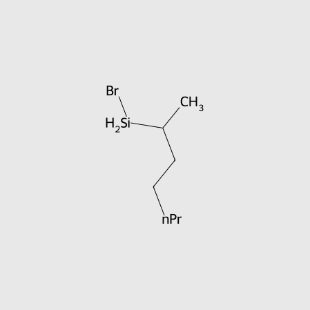 CCCCCC(C)[SiH2]Br